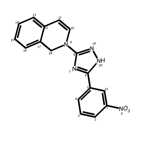 O=[N+]([O-])c1cccc(-c2nc(N3C=Cc4ccccc4C3)n[nH]2)c1